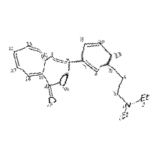 CCN(CC)CCC1C=C(c2cc3ccccc3c(=O)o2)C=CC1